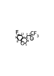 O=C(CC1CCOc2ccc(F)cc21)C(F)(F)F